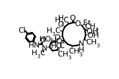 CC[C@H]1OC(=O)[C@H](C)[C@@H](O)[C@H](C)[C@@H](O[C@@H]2O[C@H](C)C[C@H](N(C)C(=O)Nc3ccc(Cl)cc3)[C@H]2O)[C@](C)(O)C[C@@H](C)CN[C@H](C)[C@@H](O)[C@]1(C)O